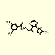 CC(CSNC(=O)c1cc(C(F)(F)F)cc(C(F)(F)F)c1)c1nccnc1-n1cnc(C#N)n1